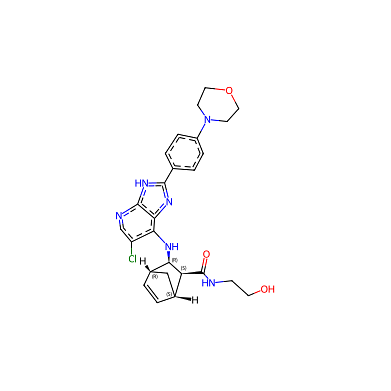 O=C(NCCO)[C@@H]1[C@H](Nc2c(Cl)cnc3[nH]c(-c4ccc(N5CCOCC5)cc4)nc23)[C@H]2C=C[C@@H]1C2